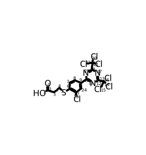 O=C(O)CCSc1ccc(-c2nc(C(Cl)(Cl)Cl)nc(C(Cl)(Cl)Cl)n2)cc1Cl